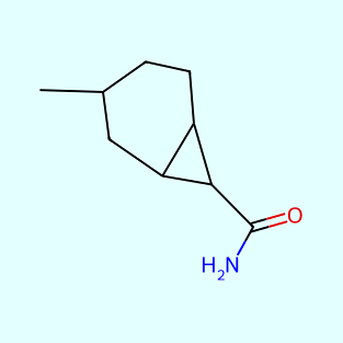 CC1CCC2C(C1)C2C(N)=O